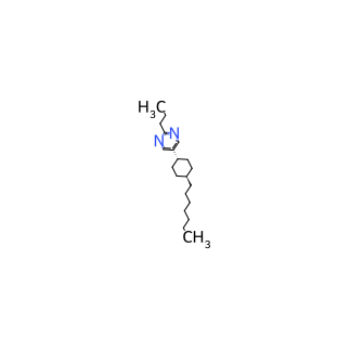 CCCCCCC[C@H]1CC[C@H](c2cnc(CCC)nc2)CC1